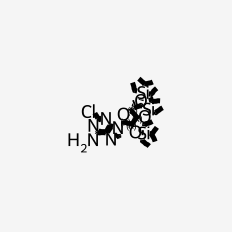 CC[Si](CC)(OC[C@H]1O[C@@H](n2cnc3c(N)nc(Cl)nc32)[C@H](O[Si](CC)(CC)C(C)C)[C@@H]1O[Si](CC)(CC)C(C)C)C(C)C